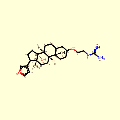 C[C@]12CCC(OCCNC(=N)N)CC1CC[C@@H]1[C@H]2CC[C@]2(C)C(c3ccoc3)CC[C@@]12O